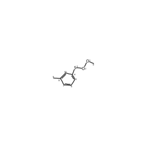 COOSc1cccc(C)c1